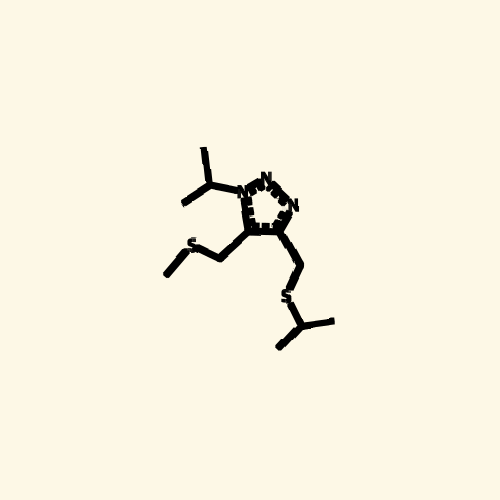 CSCc1c(CSC(C)C)nnn1C(C)C